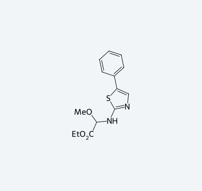 CCOC(=O)C(Nc1ncc(-c2ccccc2)s1)OC